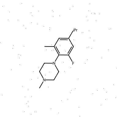 Cc1cc(C(C)C)cc(F)c1N1CCN(C)CC1